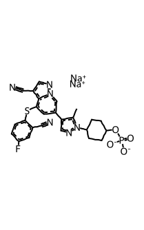 Cc1c(-c2cc(Sc3ccc(F)cc3C#N)c3c(C#N)cnn3c2)cnn1C1CCC(OP(=O)([O-])[O-])CC1.[Na+].[Na+]